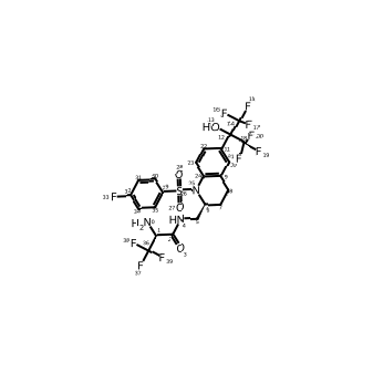 NC(C(=O)NC[C@@H]1CCc2cc(C(O)(C(F)(F)F)C(F)(F)F)ccc2N1S(=O)(=O)c1ccc(F)cc1)C(F)(F)F